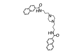 O=C(NCCCN1CCN(CCCNC(=O)c2ccc3ccccc3c2)CC1)c1ccc2ccccc2c1